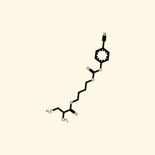 CCC(C)C(=O)OCCCCOC(=O)Oc1ccc(C#N)cc1